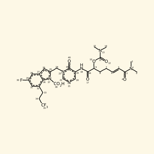 CN(C)C(=O)/C=C/CCC(OC(=O)N(C)C)C(=O)Nc1cncn(Cc2cc3cc(F)cc(CCC(F)(F)F)c3n2C(=O)O)c1=O